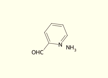 N.O=Cc1ccccn1